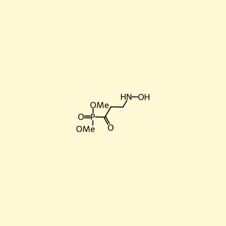 COP(=O)(OC)C(=O)CCNO